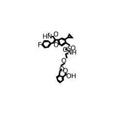 CNC(=O)c1c(-c2ccc(F)cc2)oc2cc(CS(=O)(=O)NCCOCCOCc3ccccc3C(=O)O)c(C3CC3)cc12